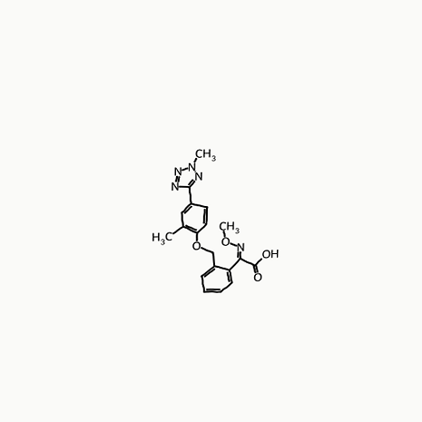 CO/N=C(/C(=O)O)c1ccccc1COc1ccc(-c2nnn(C)n2)cc1C